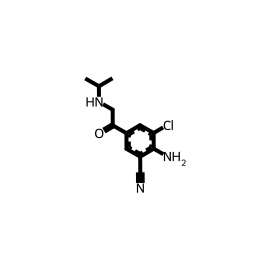 CC(C)NCC(=O)c1cc(Cl)c(N)c(C#N)c1